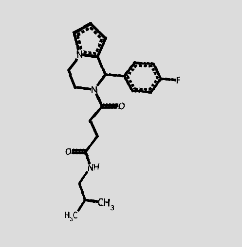 CC(C)CNC(=O)CCC(=O)N1CCn2cccc2C1c1ccc(F)cc1